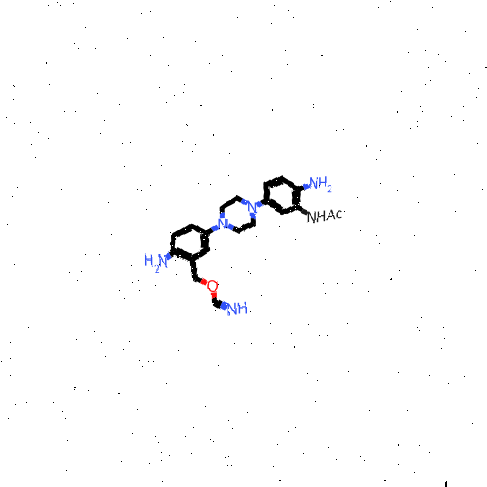 CC(=O)Nc1cc(N2CCN(c3ccc(N)c(COC=N)c3)CC2)ccc1N